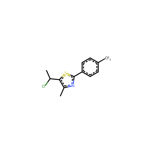 Cc1nc(-c2ccc(C(F)(F)F)cc2)sc1C(C)Cl